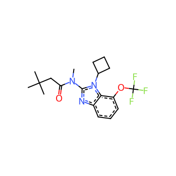 CN(C(=O)CC(C)(C)C)c1nc2cccc(OC(F)(F)F)c2n1C1CCC1